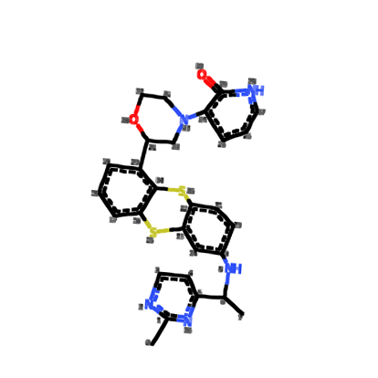 Cc1nccc(C(C)Nc2ccc3c(c2)Sc2cccc(C4CN(c5ccc[nH]c5=O)CCO4)c2S3)n1